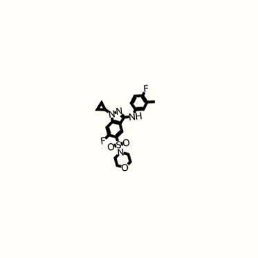 Cc1cc(Nc2nn(C3CC3)c3cc(F)c(S(=O)(=O)N4CCOCC4)cc23)ccc1F